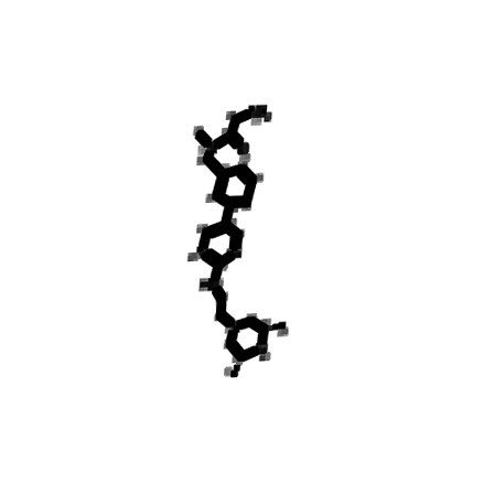 C[C@@H]1CN(CCNc2ncc(-c3cccc(CN(C)C(=O)CN)c3)cn2)C[C@H](C)O1